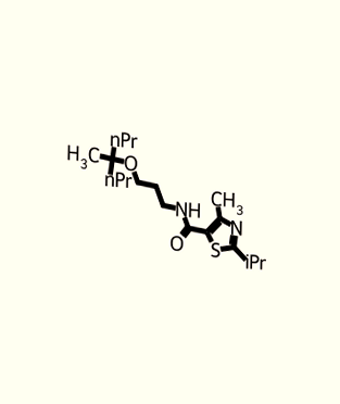 CCCC(C)(CCC)OCCCNC(=O)c1sc(C(C)C)nc1C